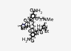 CCN/C(=C\C(C)=N)C(=O)Nc1nc2cc(C(N)=O)cc(OCCCNC)c2n1CCC[C@H]1COc2cc(C(N)=O)cc3nc(NC(=O)c4cc(C)nn4CC)n1c23